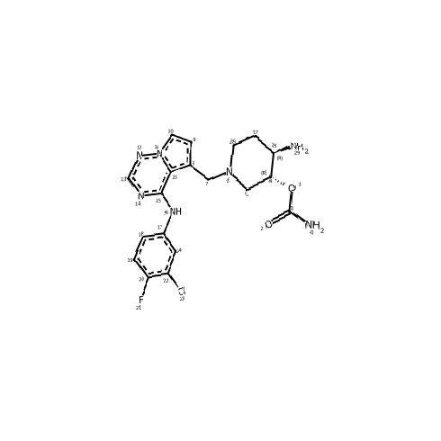 NC(=O)O[C@@H]1CN(Cc2ccn3ncnc(Nc4ccc(F)c(Cl)c4)c23)CC[C@H]1N